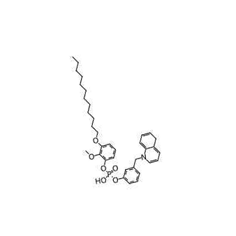 CCCCCCCCCCCCOc1cccc(OP(=O)(O)Oc2cccc(CN3C=CC=C4CC=CC=C43)c2)c1OC